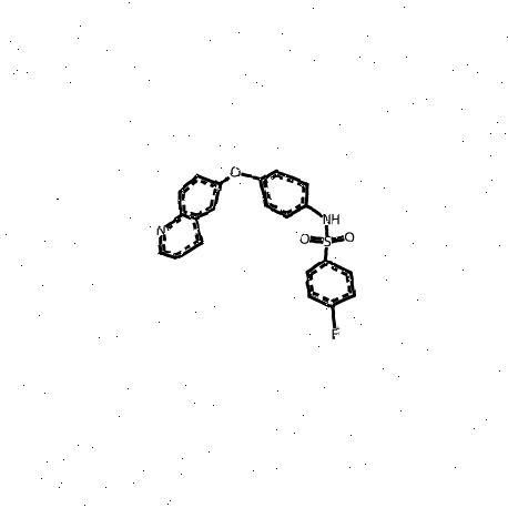 O=S(=O)(Nc1ccc(Oc2ccc3ncccc3c2)cc1)c1ccc(F)cc1